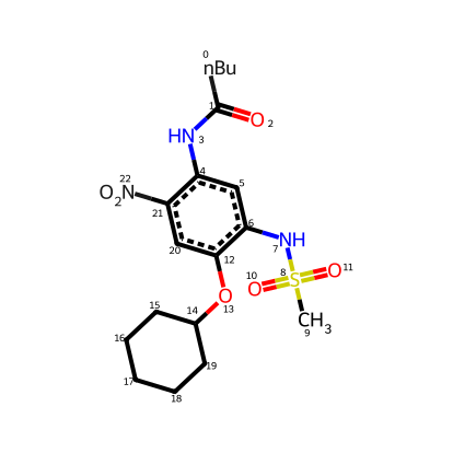 CCCCC(=O)Nc1cc(NS(C)(=O)=O)c(OC2CCCCC2)cc1[N+](=O)[O-]